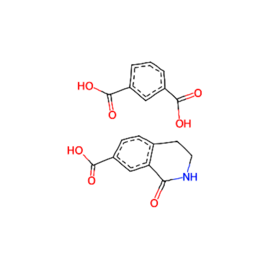 O=C(O)c1ccc2c(c1)C(=O)NCC2.O=C(O)c1cccc(C(=O)O)c1